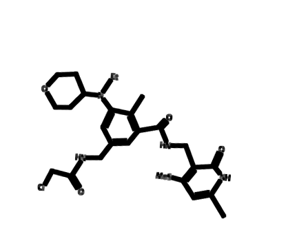 CCN(c1cc(CNC(=O)CCl)cc(C(=O)NCc2c(SC)cc(C)[nH]c2=O)c1C)C1CCOCC1